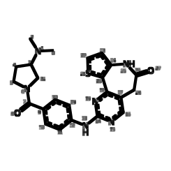 CN(C)C1CCN(C(=O)c2ccc(Nc3ncc4c(n3)-c3sccc3NC(=O)C4)cc2)C1